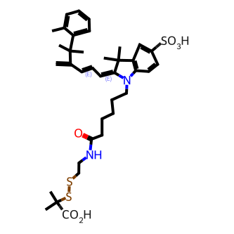 C=C(/C=C/C=C1/N(CCCCCC(=O)NCCSSC(C)(C)C(=O)O)c2ccc(S(=O)(=O)O)cc2C1(C)C)C(C)(C)c1ccccc1C